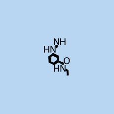 CCNC(=O)c1cccc(NC=N)c1